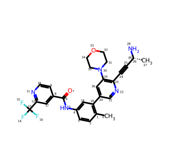 Cc1ccc(NC(=O)c2ccnc(C(F)(F)F)c2)cc1-c1cnc(C#C[C@@H](C)N)c(N2CCOCC2)c1